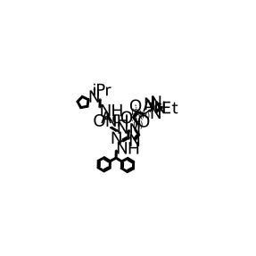 CCn1nnc([C@H]2O[C@@H](n3cnc4c(NCC(c5ccccc5)c5ccccc5)nc(CNC(=O)NCCN(C(C)C)C5CCCC5)nc43)[C@H](OC(C)=O)[C@@H]2OC(C)=O)n1